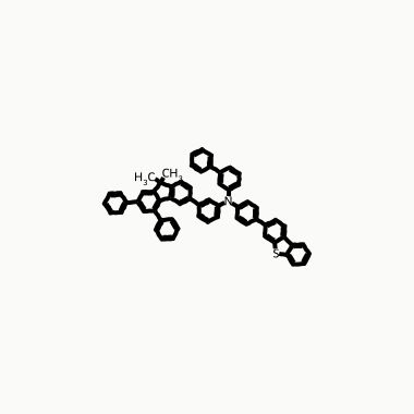 CC1(C)c2ccc(-c3cccc(N(c4ccc(-c5ccc6c(c5)sc5ccccc56)cc4)c4cccc(-c5ccccc5)c4)c3)cc2-c2c(-c3ccccc3)cc(-c3ccccc3)cc21